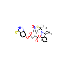 C=C(NCC(C)(C)SN=O)c1ccccc1OC(=O)CCC(=O)Oc1ccc(C(N)=S)cc1